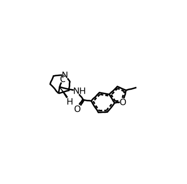 Cc1cc2cc(C(=O)N[C@H]3CN4CCC3CC4)ccc2o1